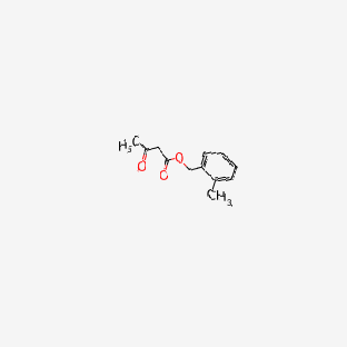 CC(=O)CC(=O)OCc1ccccc1C